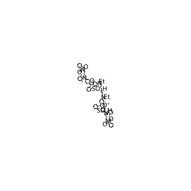 CCN(CCCCCCN(CC)c1ccc2c(-c3ccccc3S(=O)(=O)O)c3ccc(N(CCCN4C(=O)c5ccccc5C4=O)c4c(C)cccc4C)cc3[o+]c2c1)c1ccc2c(c1)OC1C=C(N(CCCN3C(=O)c4ccccc4C3=O)c3c(C)cccc3C)C=CC1=C2c1ccccc1S(=O)(=O)O